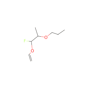 C=COC(F)C(C)OCCC